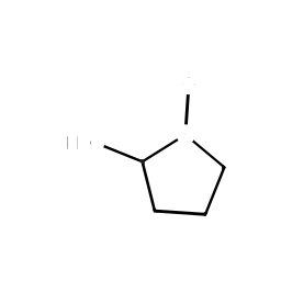 CC1[CH]CC[S+]1[O-]